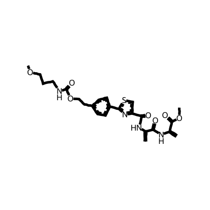 C=C(NC(=O)c1csc(-c2ccc(CCOC(=O)NCCCOC)cc2)n1)C(=O)NC(=C)C(=O)OC